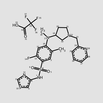 Cc1cc(S(=O)(=O)Nc2cscn2)c(F)cc1N(C)C1CCN(Cc2ccccn2)C1.O=C(O)C(F)(F)F